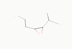 CCCCCCCC1OC1C(Cl)CC